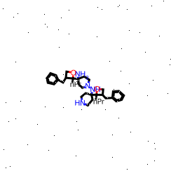 CCCC1(C2(N)CCN(NC3(C4(CCC)OCC4Cc4ccccc4)CCNCC3)CC2)OCC1Cc1ccccc1